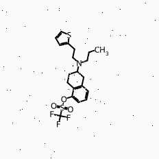 CCCN(CCc1cccs1)C1CCc2c(cccc2OS(=O)(=O)C(F)(F)F)C1